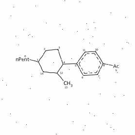 CCCCCC1CCC(c2ccc(C(C)=O)cc2)C(C)C1